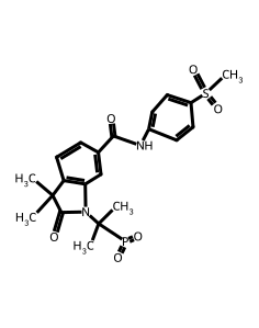 CC1(C)C(=O)N(C(C)(C)P(=O)=O)c2cc(C(=O)Nc3ccc(S(C)(=O)=O)cc3)ccc21